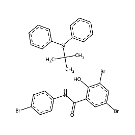 CC(C)(C)[Si](c1ccccc1)c1ccccc1.O=C(Nc1ccc(Br)cc1)c1cc(Br)cc(Br)c1O